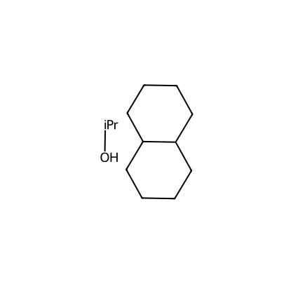 C1CCC2CCCCC2C1.CC(C)O